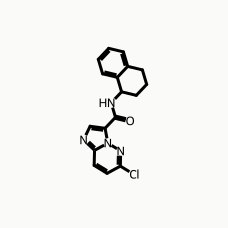 O=C(NC1CCCc2ccccc21)c1cnc2ccc(Cl)nn12